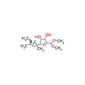 C=CC(C)CC(C)(C)C1OC(C(OC)OC)C(O)C1O